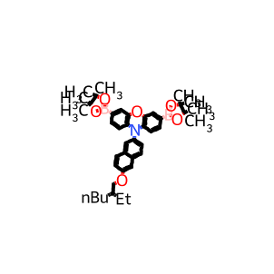 CCCCC(CC)COc1ccc2cc(N3c4ccc(B5OC(C)(C)C(C)(C)O5)cc4Oc4cc(B5OC(C)(C)C(C)(C)O5)ccc43)ccc2c1